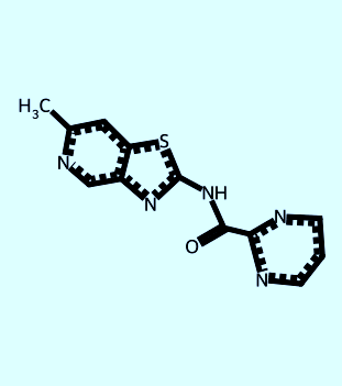 Cc1cc2sc(NC(=O)c3ncccn3)nc2cn1